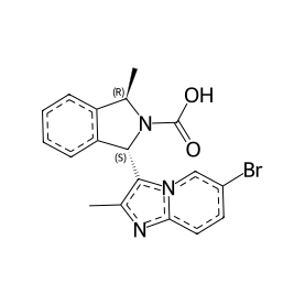 Cc1nc2ccc(Br)cn2c1[C@@H]1c2ccccc2[C@@H](C)N1C(=O)O